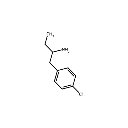 CCC(N)Cc1ccc(Cl)cc1